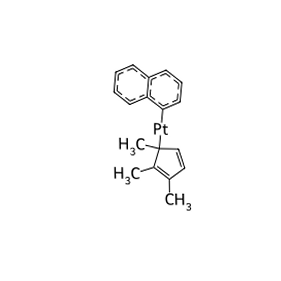 CC1=C(C)[C](C)([Pt][c]2cccc3ccccc23)C=C1